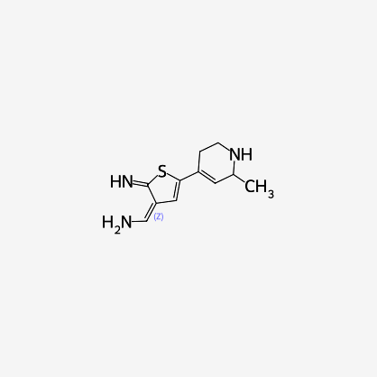 CC1C=C(C2=C/C(=C/N)C(=N)S2)CCN1